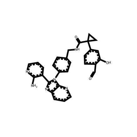 Nc1ncccc1-c1nc2cccnc2n1-c1ccc(CNC(=O)C2(c3ccc(C=O)c(O)c3)CC2)cc1